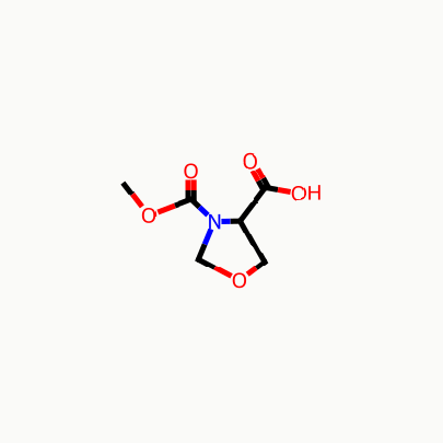 COC(=O)N1COCC1C(=O)O